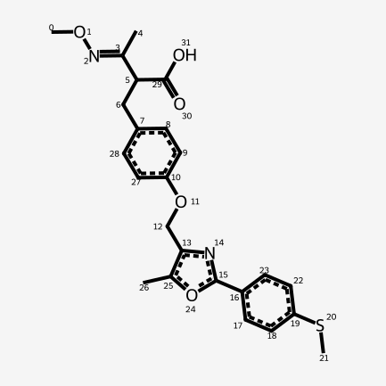 CON=C(C)C(Cc1ccc(OCc2nc(-c3ccc(SC)cc3)oc2C)cc1)C(=O)O